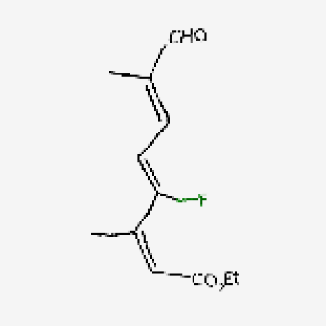 CCOC(=O)C=C(C)C(F)=CC=C(C)C=O